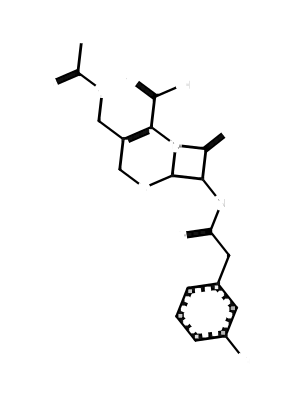 CC(=O)OCC1=C(C(=O)O)N2C(=O)C(NC(=O)Cc3cccc(Br)c3)C2SC1